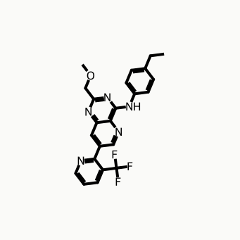 CCc1ccc(Nc2nc(COC)nc3cc(-c4ncccc4C(F)(F)F)cnc23)cc1